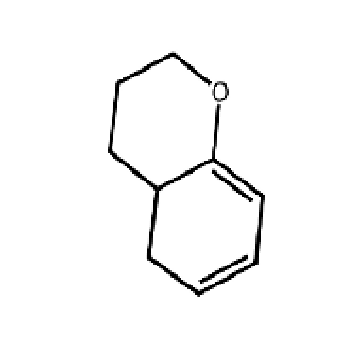 C1=CCC2CCCOC2=C1